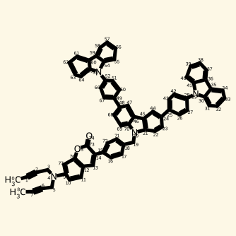 CC#CCN(CC#CC)c1ccc2cc(-c3ccc(Cn4c5ccc(-c6ccc(-n7c8ccccc8c8ccccc87)cc6)cc5c5cc(-c6ccc(-n7c8ccccc8c8ccccc87)cc6)ccc54)cc3)c(=O)oc2c1